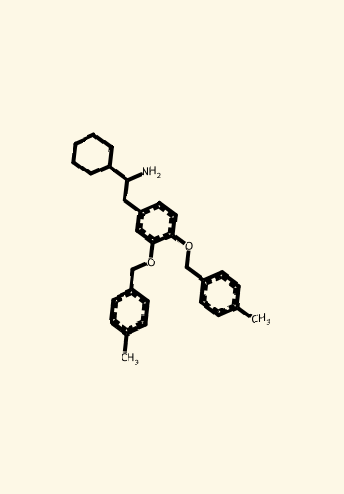 Cc1ccc(COc2ccc(CC(N)C3CCCCC3)cc2OCc2ccc(C)cc2)cc1